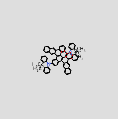 C[Si]1(C)c2ccccc2N(c2ccc3c(-c4cc5ccccc5cc4-c4ccccc4)c4cc(N5c6ccccc6[Si](C)(C)c6ccccc65)ccc4c(-c4cc5ccccc5cc4-c4ccccc4)c3c2)c2ccccc21